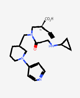 C#C[C@@H](CN(CC1CCCN(c2ccncc2)C1)C(=O)CNC1CC1)C(=O)O